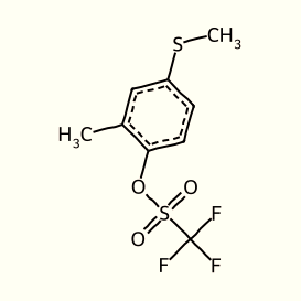 CSc1ccc(OS(=O)(=O)C(F)(F)F)c(C)c1